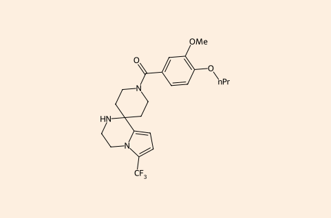 CCCOc1ccc(C(=O)N2CCC3(CC2)NCCn2c(C(F)(F)F)ccc23)cc1OC